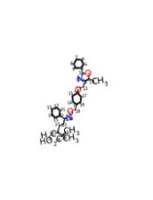 Cc1oc(-c2ccccc2)nc1COc1ccc(CON=C(CCC(C)C(C)(C)C(=O)O)c2ccccc2)cc1